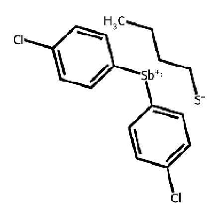 CCCC[S-].Clc1cc[c]([Sb+][c]2ccc(Cl)cc2)cc1